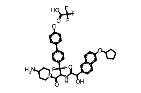 NC1CCN(C(=O)C(NC(=O)C(O)c2ccc3cc(OC4CCCC4)ccc3c2)C(F)(F)c2ccc(-c3ccc(Cl)cc3)cc2)CC1.O=C(O)C(F)(F)F